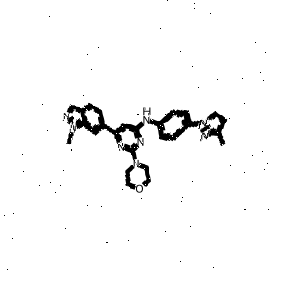 Cc1ccn(-c2ccc(Nc3cc(-c4ccc5cnn(C)c5c4)nc(N4CCOCC4)n3)cc2)n1